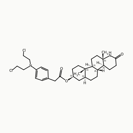 C[C@]12CC[C@H](OC(=O)Cc3ccc(N(CCCl)CCCl)cc3)C[C@@H]1CC[C@@H]1[C@@H]2CC[C@]2(C)NC(=O)CC[C@@H]12